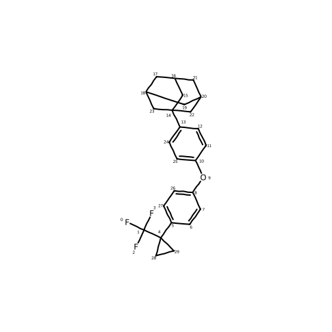 FC(F)(F)C1(c2ccc(Oc3ccc(C45CC6CC(CC(C6)C4)C5)cc3)cc2)CC1